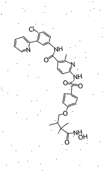 Cc1nc(NS(=O)(=O)c2ccc(OCC(C)C(C)(C)C(=O)NO)cc2)ccc1C(=O)Nc1ccc(Cl)c(-c2ccccn2)c1